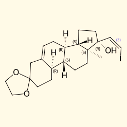 C[C@]12CC[C@H]3[C@@H](CC=C4CC5(CC[C@@H]43)OCCO5)[C@@H]1CC[C@@]2(O)/C=C\I